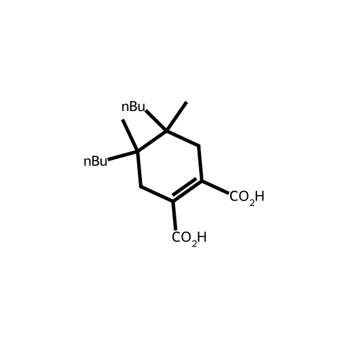 CCCCC1(C)CC(C(=O)O)=C(C(=O)O)CC1(C)CCCC